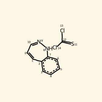 C1=Cc2ccccc2NN=C1.S=C(Cl)Cl